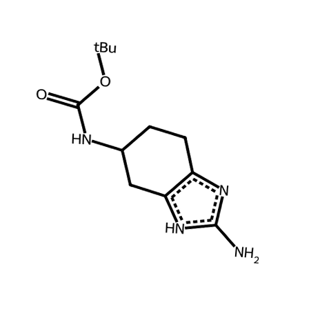 CC(C)(C)OC(=O)NC1CCc2nc(N)[nH]c2C1